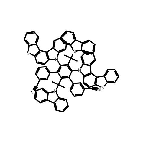 CC(C)(c1c(-c2cccc(C#N)c2)c(-n2c3ccccc3c3c4c(ccc32)sc2ccccc24)c(C(C)(C)n2c3ccccc3c3ccccc32)c(-n2c3ccccc3c3c4c(ccc32)sc2ccccc24)c1-c1cccc(C#N)c1)n1c2ccccc2c2ccccc21